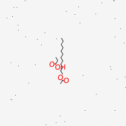 CCC(=O)O.CCCCCCCCCCCCOC(C)=O